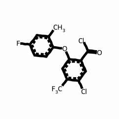 Cc1cc(F)ccc1Oc1cc(C(F)(F)F)c(Cl)cc1C(=O)Cl